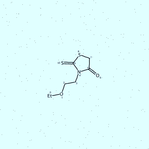 CCOCCN1C(=O)CSC1=S